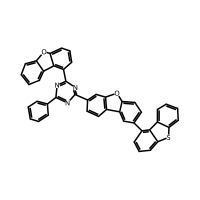 c1ccc(-c2nc(-c3ccc4c(c3)oc3ccc(-c5cccc6sc7ccccc7c56)cc34)nc(-c3cccc4oc5ccccc5c34)n2)cc1